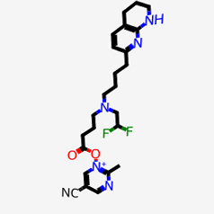 Cc1ncc(C#N)c[n+]1OC(=O)CCCN(CCCCc1ccc2c(n1)NCCC2)CC(F)F